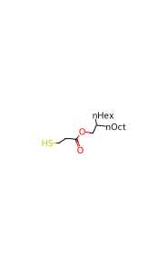 CCCCCCCCC(CCCCCC)COC(=O)CCS